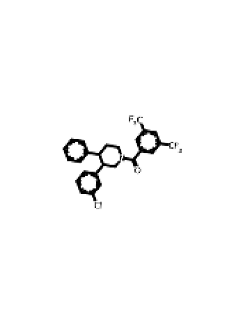 O=C(c1cc(C(F)(F)F)cc(C(F)(F)F)c1)N1CCC(c2ccccc2)C(c2cccc(Cl)c2)C1